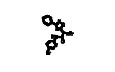 CCCC(C(=O)Nc1ccc(Br)cn1)c1nc(-c2ccccc2)no1